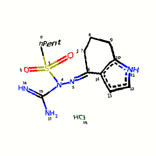 CCCCCS(=O)(=O)N(N=C1CCCc2[nH]ccc21)C(=N)N.Cl